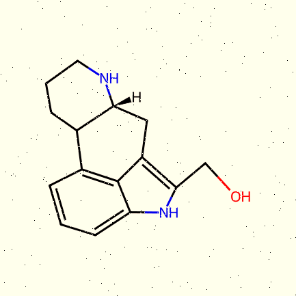 OCc1[nH]c2cccc3c2c1C[C@H]1NCCCC31